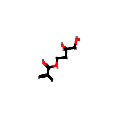 C=C(C)C(=O)OCCC(=O)CO